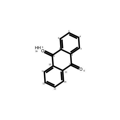 O=C1c2ccccc2C(=O)c2ccccc21.[HH]